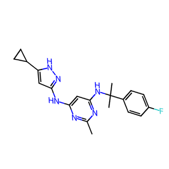 Cc1nc(Nc2cc(C3CC3)[nH]n2)cc(NC(C)(C)c2ccc(F)cc2)n1